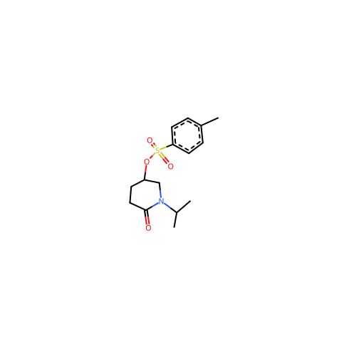 Cc1ccc(S(=O)(=O)OC2CCC(=O)N(C(C)C)C2)cc1